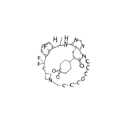 C[C@H]1Nc2ncnc3c2cc(C2CCS(=O)(=O)CC2)c(=O)n3CCCOCCCCN2CC(C2)CC(F)(F)c2cccc1c2F